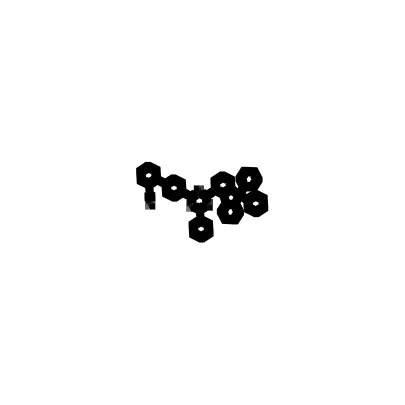 N#Cc1ccccc1-c1ccc(-c2nc(-c3ccccc3)nc(-c3cccc4c3-c3ccccc3C4(c3ccccc3)c3ccccc3)n2)cc1